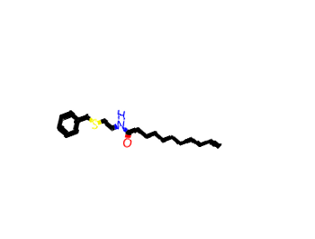 C=CCCCCCCCCC(=O)NCCSCc1ccccc1